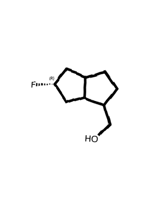 OCC1CCC2C[C@@H](F)CC12